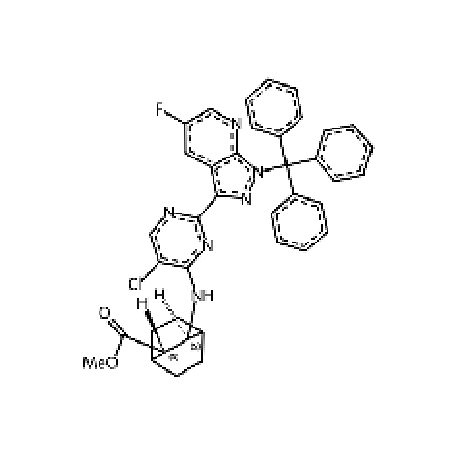 COC(=O)[C@H]1C2CCC(CC2)[C@@H]1Nc1nc(-c2nn(C(c3ccccc3)(c3ccccc3)c3ccccc3)c3ncc(F)cc23)ncc1Cl